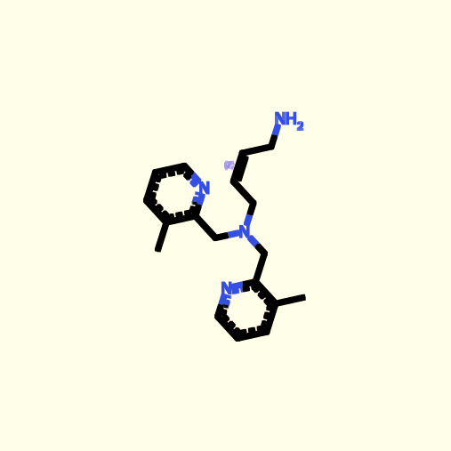 Cc1cccnc1CN(C/C=C\CN)Cc1ncccc1C